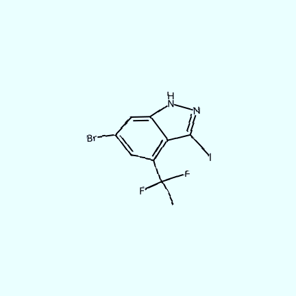 CC(F)(F)c1cc(Br)cc2[nH]nc(I)c12